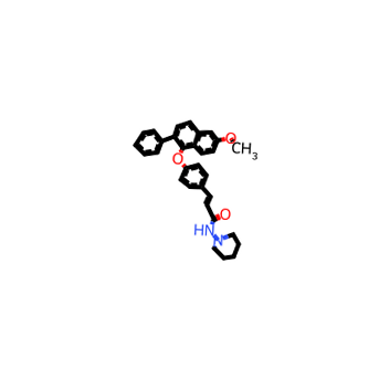 COc1ccc2c(Oc3ccc(C=CC(=O)NN4CCCCC4)cc3)c(-c3ccccc3)ccc2c1